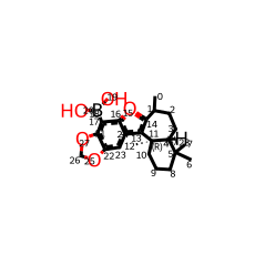 CC1CC[C@@H]2C(C)(C)CCC[C@@]2(C)c2c1oc1c(B(O)O)c3c(cc21)OCO3